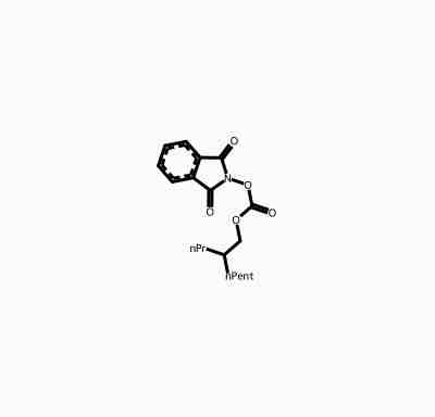 CCCCCC(CCC)COC(=O)ON1C(=O)c2ccccc2C1=O